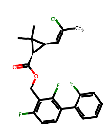 CC1(C)[C@H](C(=O)OCc2c(F)ccc(-c3ccccc3F)c2F)[C@@H]1/C=C(\Cl)C(F)(F)F